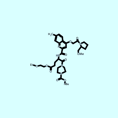 CCCCOC(=O)N1CCN(C(=O)C(CCC(=O)OCCOCC)NC(=O)c2cc(OCC(=O)N3CCCC3COC)c3ccc(C)cc3n2)CC1